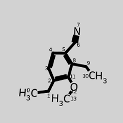 CCc1ccc(C#N)c(CC)c1OC